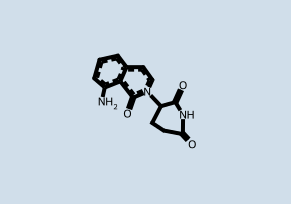 Nc1cccc2ccn(C3CCC(=O)NC3=O)c(=O)c12